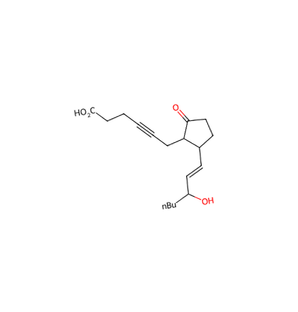 CCCCC(O)/C=C/C1CCC(=O)C1CC#CCCC(=O)O